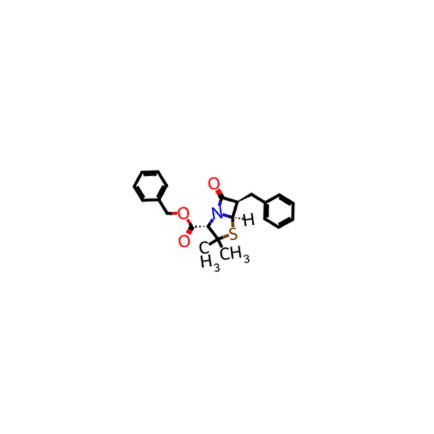 CC1(C)S[C@@H]2[C@H](Cc3ccccc3)C(=O)N2[C@H]1C(=O)OCc1ccccc1